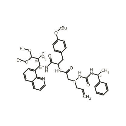 C=CCN(CC(=O)NC(Cc1ccc(OC(C)(C)C)cc1)C(=O)N[C@H](c1cccc2cccnc12)[C@H](C)C(OCC)OCC)NC(=O)N[C@@H](C)c1ccccc1